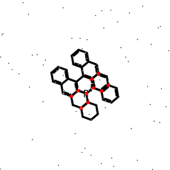 c1ccc(P(c2ccc3ccccc3c2-c2c(P(c3ccccc3)C3CCCCC3)ccc3ccccc23)C2CCCCC2)cc1